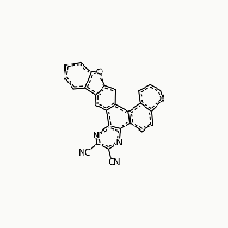 N#Cc1nc2c3cc4c(cc3c3c5ccccc5ccc3c2nc1C#N)oc1ccccc14